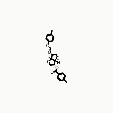 Cc1ccc(OCO[C@H]2CO[C@H]3[C@@H]2OC[C@H]3OC(=O)c2ccc(C)cc2)cc1